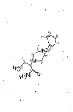 NC(=O)C(CO)N1CCN(c2ccccc2)CC1